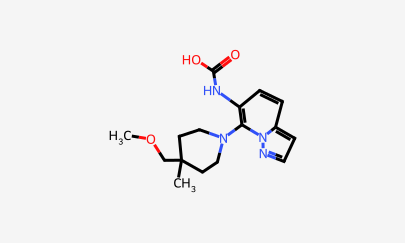 COCC1(C)CCN(c2c(NC(=O)O)ccc3ccnn23)CC1